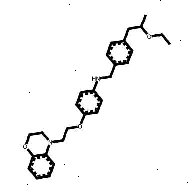 CCOC(C)Cc1ccc(CNc2ccc(OCCN3CCOc4ccccc43)cc2)cc1